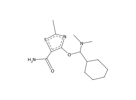 Cc1nc(OC(C2CCCCC2)N(C)C)c(C(N)=O)s1